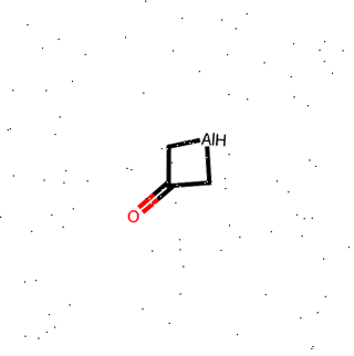 O=C1[CH2][AlH][CH2]1